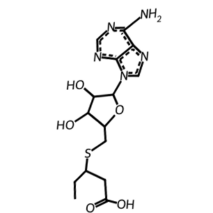 CCC(CC(=O)O)SCC1OC(n2cnc3c(N)ncnc32)C(O)C1O